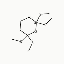 CSC1(SC)CCC[Si](SC)(SC)O1